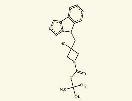 CC(C)(C)OC(=O)N1CC(O)(CC2c3ccccc3-c3cncn32)C1